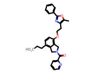 Cc1oc(-c2ccccc2)nc1CCOc1ccc(CCC(=O)O)c2c1CN(C(=O)c1ccccn1)C2